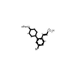 CCCCCC1CCC(c2cc(Br)ccc2C=CC(=O)O)CC1